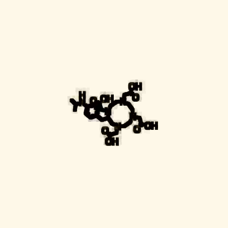 CC(C)Nc1ccc(CC2CN(CC(=O)O)CCN(CC(=O)O)CCN(CC(=O)O)CCN2CC(=O)O)cc1